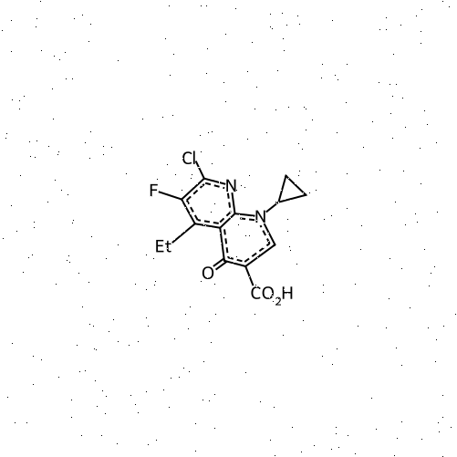 CCc1c(F)c(Cl)nc2c1c(=O)c(C(=O)O)cn2C1CC1